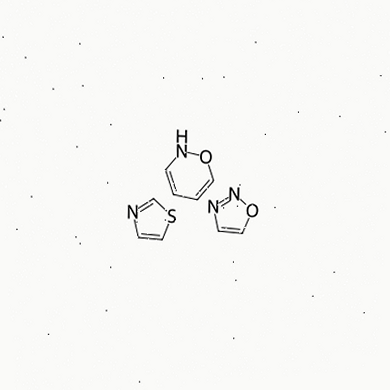 C1=CNOC=C1.c1conn1.c1cscn1